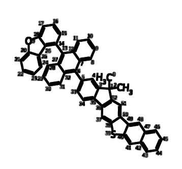 CC1(C)c2cc(-c3c4ccccc4c(-c4cccc5oc6ccccc6c45)c4ccccc34)ccc2-c2cc3sc4cc5ccccc5cc4c3cc21